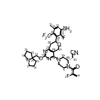 C=C(F)C(=O)N1CCN(c2nc(OCC34CCCN3CCC4)nc3c2COC(c2c(F)c(N)cc(C)c2C(F)(F)F)C3)C[C@@H]1CC#N